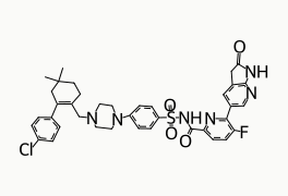 CC1(C)CCC(CN2CCN(c3ccc(S(=O)(=O)NC(=O)c4ccc(F)c(-c5cnc6c(c5)CC(=O)N6)n4)cc3)CC2)=C(c2ccc(Cl)cc2)C1